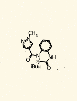 CC[C@H](C)[C@H]1C(=O)Nc2ccccc2N1C(=O)c1cnn(C)c1